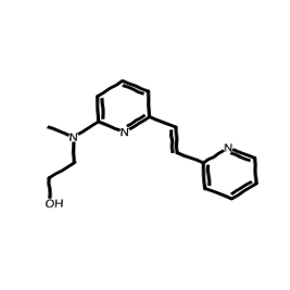 CN(CCO)c1cccc(C=Cc2ccccn2)n1